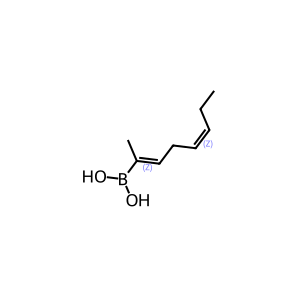 CC/C=C\C/C=C(\C)B(O)O